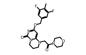 Cc1c(F)cc(COc2cc3n(c(=O)n2)CCCN3CC(=O)N2CCOCC2)cc1F